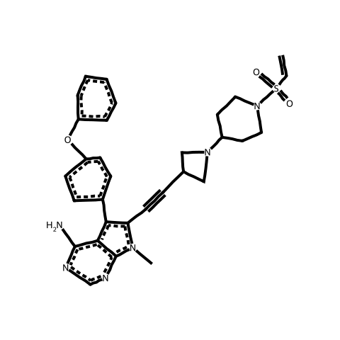 C=CS(=O)(=O)N1CCC(N2CC(C#Cc3c(-c4ccc(Oc5ccccc5)cc4)c4c(N)ncnc4n3C)C2)CC1